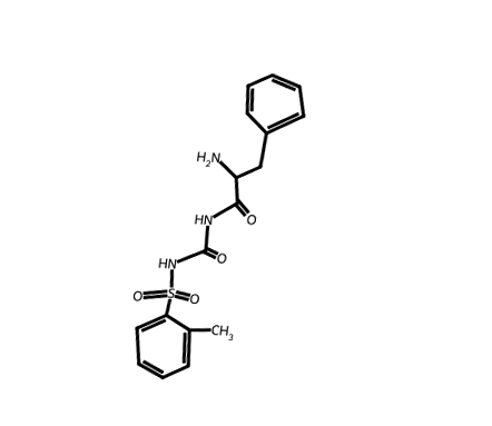 Cc1ccccc1S(=O)(=O)NC(=O)NC(=O)C(N)Cc1ccccc1